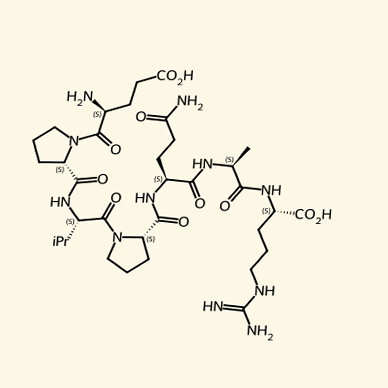 CC(C)[C@H](NC(=O)[C@@H]1CCCN1C(=O)[C@@H](N)CCC(=O)O)C(=O)N1CCC[C@H]1C(=O)N[C@@H](CCC(N)=O)C(=O)N[C@@H](C)C(=O)N[C@@H](CCCNC(=N)N)C(=O)O